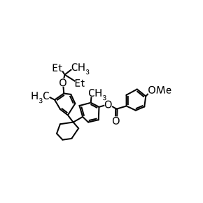 CCC(C)(CC)Oc1ccc(C2(c3ccc(OC(=O)c4ccc(OC)cc4)c(C)c3)CCCCC2)cc1C